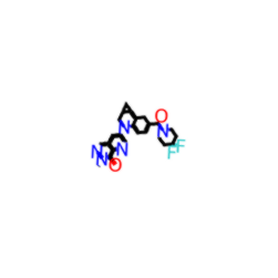 Cn1ncc2cc(N3CC4CC4=C4CC(C(=O)N5CCC(F)(F)CC5)=CC=C43)cnc2c1=O